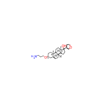 C[C@]12CC[C@H](OCCCN)CC1=CC[C@@H]1[C@@H]2CC[C@@]2(C)[C@H]1CC[C@@]2(O)c1ccoc1